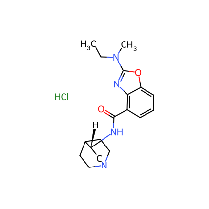 CCN(C)c1nc2c(C(=O)N[C@@H]3CN4CCC3CC4)cccc2o1.Cl